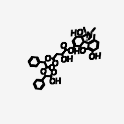 Cc1ccc(O)c2c1[C@]13CCN(C)[C@H](C)[C@]1(O)CC=C(OC(=O)[C@@H](O)CC(=O)O[C@H](C(=O)O[C@H](C(=O)O)c1ccccc1)c1ccccc1)[C@@H]3O2